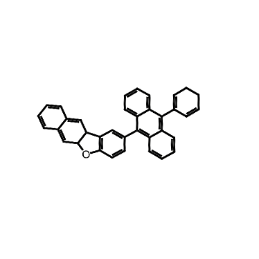 C1=CC(c2c3ccccc3c(-c3ccc4c(c3)C3C=c5ccccc5=CC3O4)c3ccccc23)=CCC1